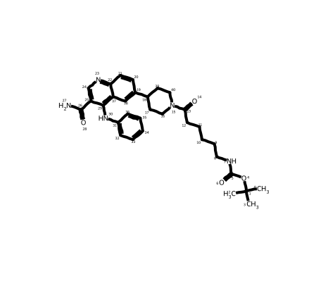 CC(C)(C)OC(=O)NCCCCCC(=O)N1CCC(c2ccc3ncc(C(N)=O)c(Nc4ccccc4)c3c2)CC1